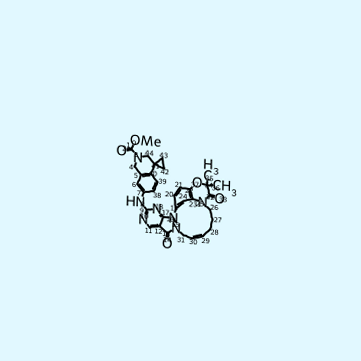 COC(=O)N1Cc2cc(Nc3ncc4c(=O)n5n(c4n3)-c3ccc4c(c3)N(CCC/C=C\C5)C(=O)C(C)(C)O4)ccc2C2(CC2)C1